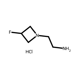 Cl.NCCN1CC(F)C1